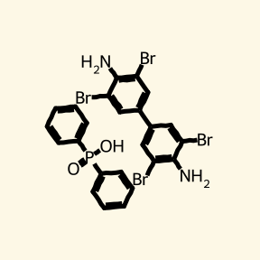 Nc1c(Br)cc(-c2cc(Br)c(N)c(Br)c2)cc1Br.O=P(O)(c1ccccc1)c1ccccc1